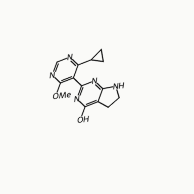 COc1ncnc(C2CC2)c1-c1nc(O)c2c(n1)NCC2